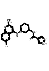 O=C(NC1CCC[C@H](Nc2cc(C(F)(F)F)nc3ccc(Cl)cc23)C1)c1cn[nH]c1